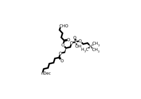 CCCCCCCCCCCCCCCC(=O)OC[C@H](COP(=O)(O)OCC[N+](C)(C)C)OC(=O)CCCC=O